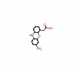 Cc1ccc2c(c1)Oc1c(CC(=O)O)cccc1N2